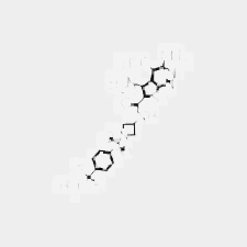 Cc1nnc2sc(C(=O)NC3CN(S(=O)(=O)c4ccc(C(C)(F)F)cc4)C3)c(N)c2c1C